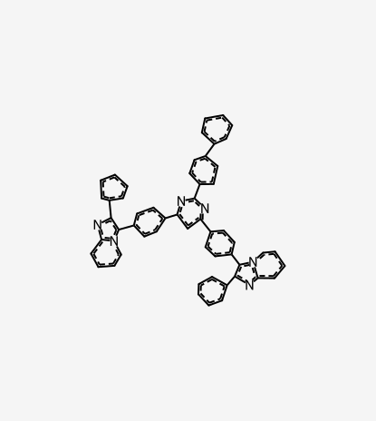 c1ccc(-c2ccc(-c3nc(-c4ccc(-c5c(-c6ccccc6)nc6ccccn56)cc4)cc(-c4ccc(-c5c(-c6ccccc6)nc6ccccn56)cc4)n3)cc2)cc1